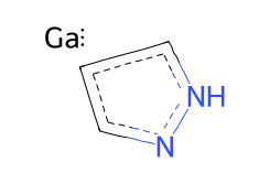 [Ga].c1cn[nH]c1